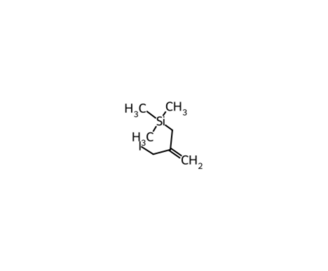 C=C(CI)C[Si](C)(C)C